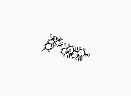 Cc1ccc(C(NC(=O)[C@H]2CC[C@H]3[C@@H]4CC[C@H]5NC(=O)CC[C@]5(C)[C@H]4CC[C@]23C)(C(F)(F)F)C(F)(F)F)cc1